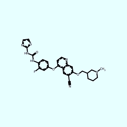 CN1CCCC(COc2cc3nccc(Oc4ccc(NC(=O)Nc5nccs5)c(F)c4)c3cc2C#N)C1